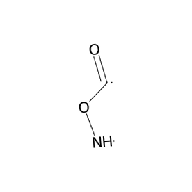 [NH]O[C]=O